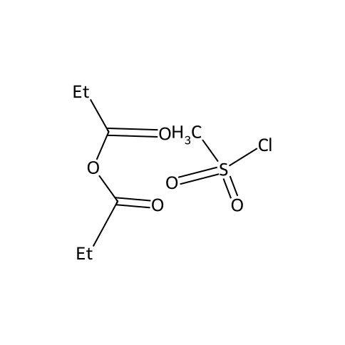 CCC(=O)OC(=O)CC.CS(=O)(=O)Cl